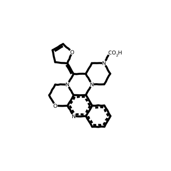 O=C(O)N1CCN2c3c4c(nc5ccccc35)OCCN4C(=C3CC=CO3)C2C1